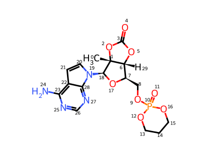 C[C@@]12OC(=O)O[C@@H]1[C@@H](COP1(=O)OCCCO1)O[C@H]2n1ccc2c(N)ncnc21